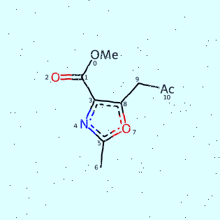 COC(=O)c1nc(C)oc1CC(C)=O